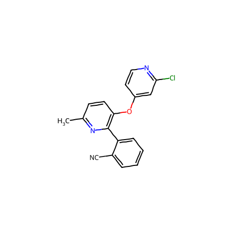 Cc1ccc(Oc2ccnc(Cl)c2)c(-c2ccccc2C#N)n1